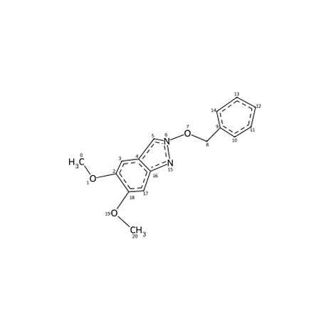 COc1cc2cn(OCc3ccccc3)nc2cc1OC